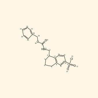 O=C(NCC1CCCc2cc(S(=O)(=O)Cl)ccc21)OCc1ccccc1